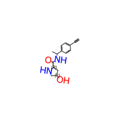 C#Cc1ccc(C(C)NC(=O)[C@H]2C[C@H](O)CN2)cc1